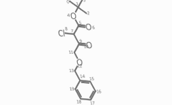 CC(C)(C)OC(=O)C(Cl)C(=O)COCc1ccccc1